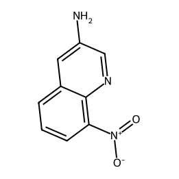 Nc1cnc2c([N+](=O)[O-])cccc2c1